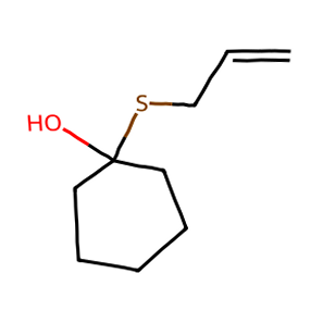 C=CCSC1(O)CCCCC1